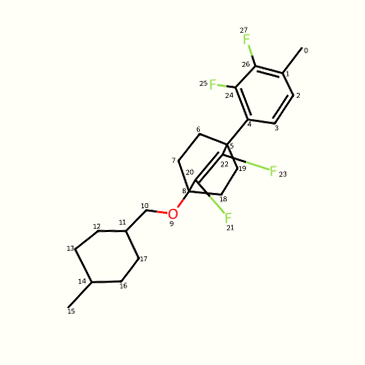 Cc1ccc(C23CCC(OCC4CCC(C)CC4)(CC2)C(F)=C3F)c(F)c1F